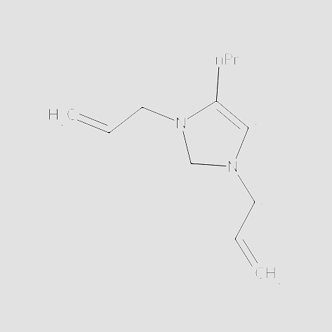 C=CCN1C=C(CCC)N(CC=C)C1